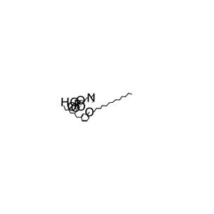 CCCCCCCCCCCCCOc1cccc(CC(COP(=O)(O)OCCN(C)C)CC(=O)CC)c1